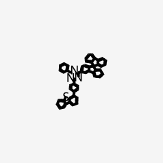 c1ccc(-c2nc(-c3ccc(-c4cccc5c4sc4ccccc45)cc3)nc(-c3ccc4c(c3)-c3ccccc3C43c4ccccc4-c4ccccc43)n2)cc1